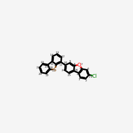 Clc1ccc2c(c1)oc1cc(-c3cccc4c3sc3ccccc34)ccc12